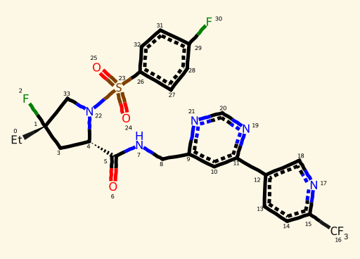 CC[C@]1(F)C[C@@H](C(=O)NCc2cc(-c3ccc(C(F)(F)F)nc3)ncn2)N(S(=O)(=O)c2ccc(F)cc2)C1